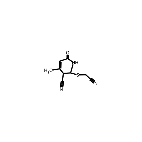 CC1=CC(=O)NC(SCC#N)C1C#N